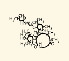 CO[C@]1(C)CC([C@H]2[C@H](C)[C@@H](O[C@@H]3O[C@H](C)C[C@H](N(C)C)C3OCCCNC(=O)CN(C)C)[C@](C)(O)C[C@@H](C)CN(C)C(=O)CCCNC(=O)[C@@H]2C)O[C@@H](C)[C@@H]1O